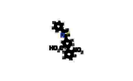 O=C(O)c1cc(-c2nc(-c3ccccc3)cs2)ccc1-c1ccccc1[N+](=O)[O-]